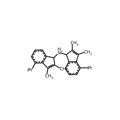 CC1=C(C)c2c(cccc2C(C)C)[C]1[SiH2][C]1C(C)=C(C)c2c1cccc2C(C)C